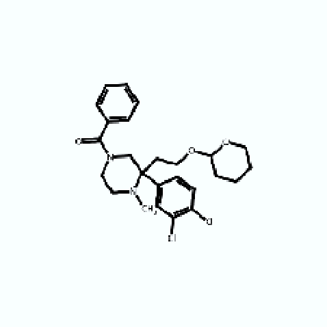 CN1CCN(C(=O)c2ccccc2)CC1(CCOC1CCCCO1)c1ccc(Cl)c(Cl)c1